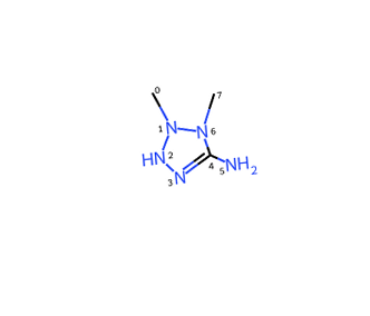 CN1NN=C(N)N1C